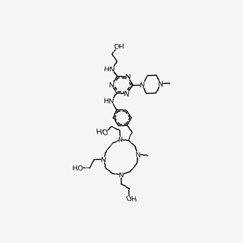 CN1CCN(c2nc(NCCO)nc(Nc3ccc(CC4CN(C)CCN(CCO)CCN(CCO)CCN4CCO)cc3)n2)CC1